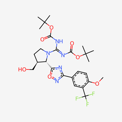 COc1ccc(-c2noc([C@@H]3[C@@H](CO)CCN3/C(=N/C(=O)OC(C)(C)C)NC(=O)OC(C)(C)C)n2)cc1C(F)(F)F